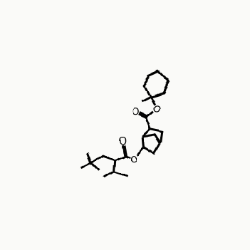 CC(C)C(CC(C)(C)C)C(=O)OC1CC2CC(C(=O)OC3(C)CCCCC3)C1C2